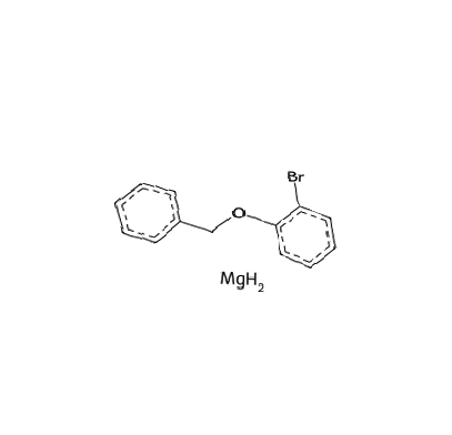 Brc1ccccc1OCc1ccccc1.[MgH2]